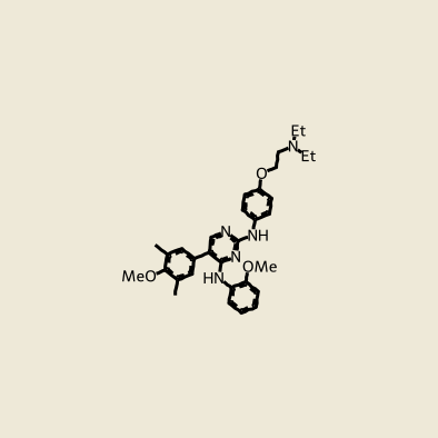 CCN(CC)CCOc1ccc(Nc2ncc(-c3cc(C)c(OC)c(C)c3)c(Nc3ccccc3OC)n2)cc1